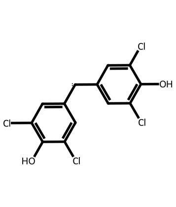 Oc1c(Cl)cc([C]c2cc(Cl)c(O)c(Cl)c2)cc1Cl